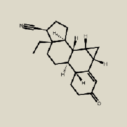 CC[C@]12CC[C@H]3[C@@H]([C@@H]4C[C@@H]4C4=CC(=O)CC[C@@H]43)[C@@H]1CC[C@@H]2C#N